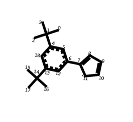 CC(C)(C)c1cc(C2=CC=C[CH]2)cc(C(C)(C)C)c1